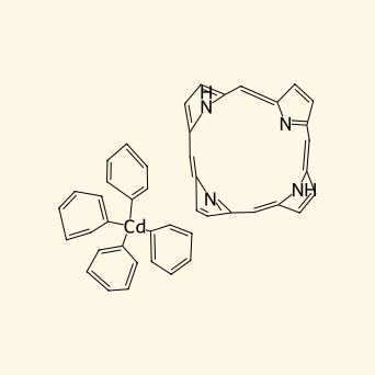 C1=Cc2cc3ccc(cc4nc(cc5ccc(cc1n2)[nH]5)C=C4)[nH]3.c1cc[c]([Cd]([c]2ccccc2)([c]2ccccc2)[c]2ccccc2)cc1